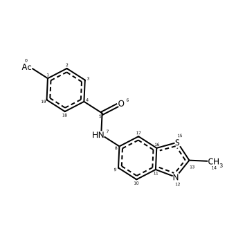 CC(=O)c1ccc(C(=O)Nc2ccc3nc(C)sc3c2)cc1